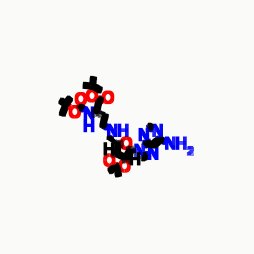 CC(C)(C)OC(=O)N[C@@H](CCNC[C@H]1O[C@@H](n2cnc3c(N)ncnc32)[C@@H]2OC(C)(C)O[C@@H]21)C(=O)OC(C)(C)C